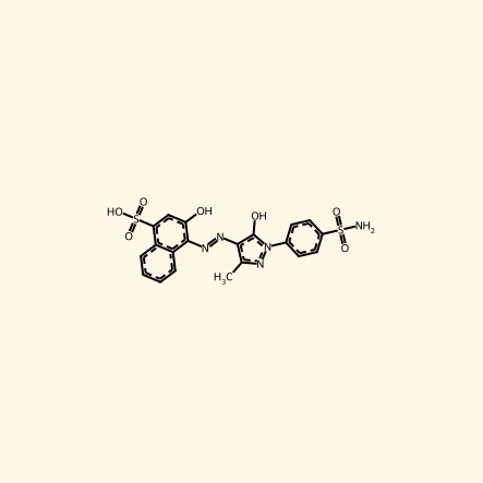 Cc1nn(-c2ccc(S(N)(=O)=O)cc2)c(O)c1/N=N/c1c(O)cc(S(=O)(=O)O)c2ccccc12